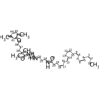 CC/C=C\C/C=C\C/C=C\C/C=C\C/C=C\C/C=C\CCC(=O)NCCCNCCNC(=O)C(C)(C)CCCOc1cc(C)ccc1C